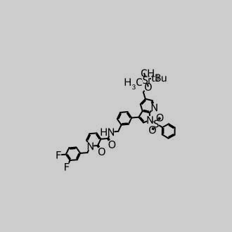 CC(C)(C)[Si](C)(C)OCc1cnc2c(c1)c(-c1cccc(CNC(=O)c3cccn(Cc4ccc(F)c(F)c4)c3=O)c1)cn2S(=O)(=O)c1ccccc1